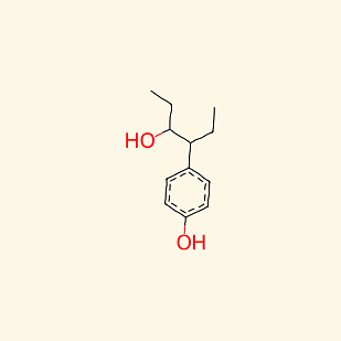 CCC(O)C(CC)c1ccc(O)cc1